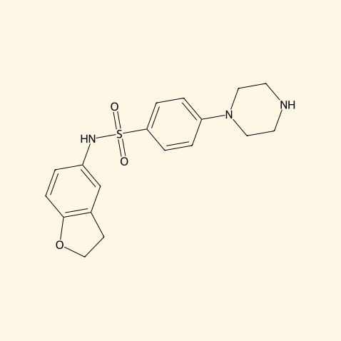 O=S(=O)(Nc1ccc2c(c1)CCO2)c1ccc(N2CCNCC2)cc1